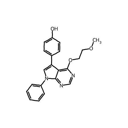 COCCOc1ncnc2c1c(-c1ccc(O)cc1)cn2-c1ccccc1